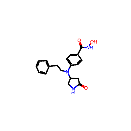 O=C1CC(N(CCc2ccccc2)c2ccc(C(=O)NO)cc2)CN1